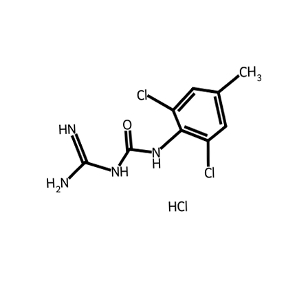 Cc1cc(Cl)c(NC(=O)NC(=N)N)c(Cl)c1.Cl